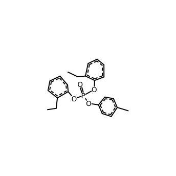 CCc1ccccc1OP(=O)(Oc1ccc(C)cc1)Oc1ccccc1CC